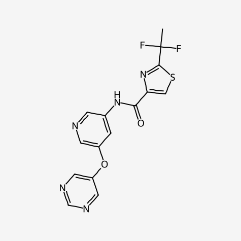 CC(F)(F)c1nc(C(=O)Nc2cncc(Oc3cncnc3)c2)cs1